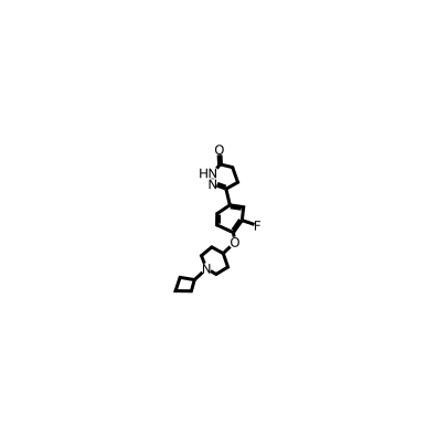 O=C1CCC(c2ccc(OC3CCN(C4CCC4)CC3)c(F)c2)=NN1